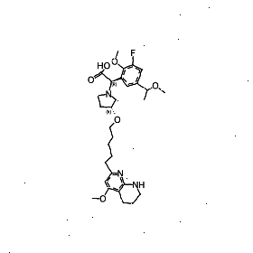 COc1cc(CCCCCO[C@@H]2CCN([C@@H](C(=O)O)c3cc(C(C)OC)cc(F)c3OC)C2)nc2c1CCCN2